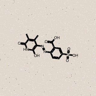 Cc1c(/N=N/c2ccc(S(=O)(=O)O)cc2C(=O)O)c(O)[nH]c(=O)c1C